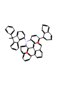 CC1(c2ccccc2)c2ccccc2-c2c(N(c3ccc(-c4cccc5ccccc45)cc3)c3ccccc3-c3cccc4cccc(-c5ccccc5)c34)cccc21